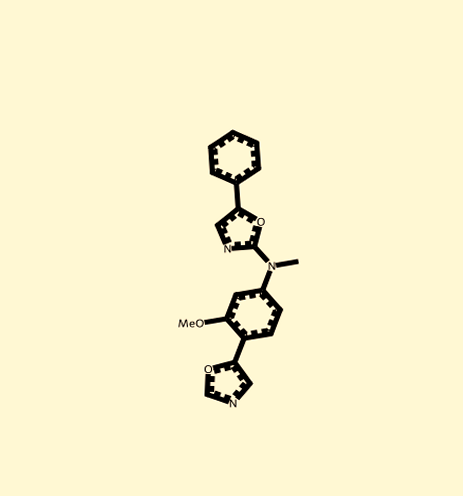 COc1cc(N(C)c2ncc(-c3ccccc3)o2)ccc1-c1cnco1